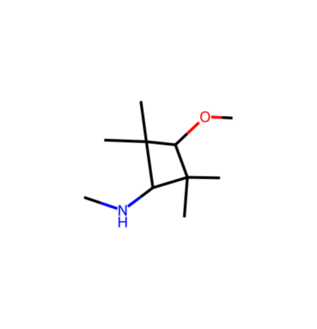 CNC1C(C)(C)C(OC)C1(C)C